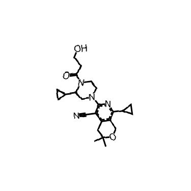 CC1(C)Cc2c(C#N)c(N3CCN(C(=O)CCO)C(C4CC4)C3)nc(C3CC3)c2CO1